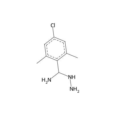 Cc1cc(Cl)cc(C)c1C(N)NN